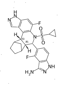 Nc1n[nH]c2ccc(C3[C@@H]4C5CCC(C5)[C@@H]4c4c(c(F)cc5[nH]ncc45)N3S(=O)(=O)C3CC3)c(F)c12